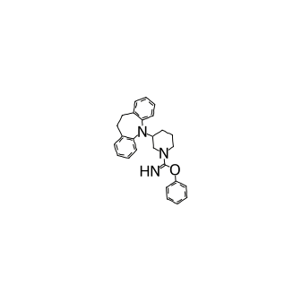 N=C(Oc1ccccc1)N1CCCC(N2c3ccccc3CCc3ccccc32)C1